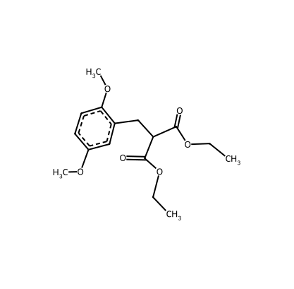 CCOC(=O)C(Cc1cc(OC)ccc1OC)C(=O)OCC